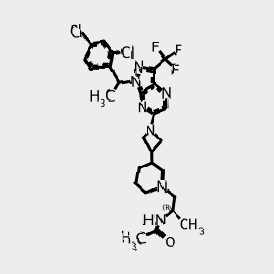 CC(=O)N[C@H](C)CN1CCCC(C2CN(c3cnc4c(C(F)(F)F)nn(C(C)c5ccc(Cl)cc5Cl)c4n3)C2)C1